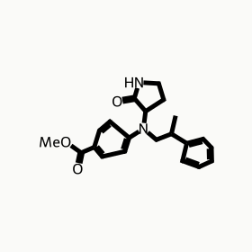 COC(=O)c1ccc(N(CC(C)c2ccccc2)C2CCNC2=O)cc1